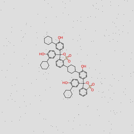 O=S1(=O)OC(c2ccc(O)c(C3CCCCC3)c2)(c2ccc(O)c(C3CCC(c4cccc5c4S(=O)(=O)OC5(c4ccc(O)c(C5CCCCC5)c4)c4ccc(O)c(C5CCCCC5)c4)CC3)c2)c2ccccc21